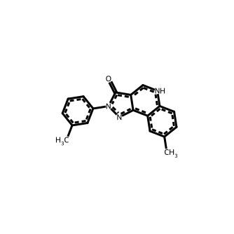 Cc1cccc(-n2nc3c4cc(C)ccc4[nH]cc-3c2=O)c1